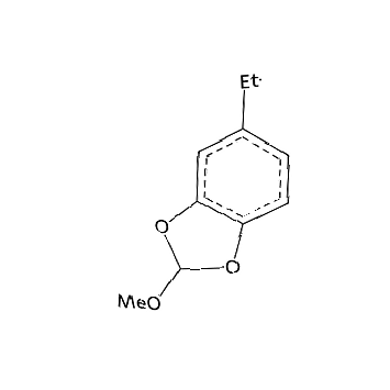 C[CH]c1ccc2c(c1)OC(OC)O2